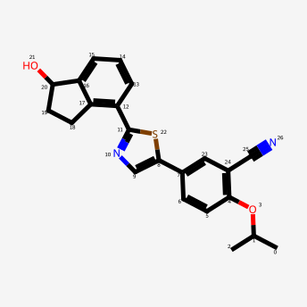 CC(C)Oc1ccc(-c2cnc(-c3cccc4c3CCC4O)s2)cc1C#N